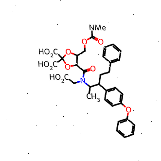 CNC(=O)OCC1OC(C(=O)O)(C(=O)O)OC1C(=O)N(CC(=O)O)C(C)C(CCc1ccccc1)c1ccc(Oc2ccccc2)cc1